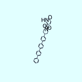 O=c1ccc(S(=O)(=O)N2CCC(c3ccc(-c4ccc(-c5ccc(-c6ccccc6)cc5)cc4)cc3)CC2)c[nH]1